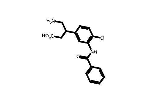 NCC(CC(=O)O)c1ccc(Cl)c(NC(=O)c2ccccc2)c1